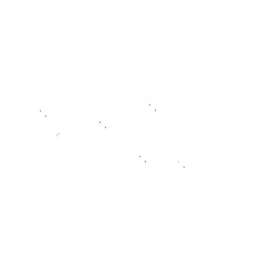 Cc1ccccc1NC(=NC#N)N1CCN[C@@H]2CCCC[C@@H]21